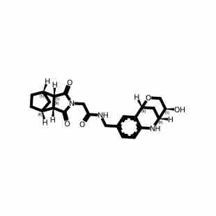 O=C(CN1C(=O)[C@@H]2[C@@H]3CC[C@@H](C3)[C@@H]2C1=O)NCc1ccc2c(c1)[C@H]1C[C@@H](N2)[C@H](O)CO1